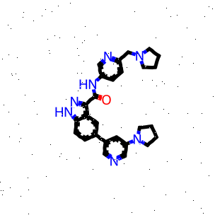 O=C(Nc1ccc(CN2CCCC2)nc1)c1n[nH]c2ccc(-c3cncc(N4CCCC4)c3)cc12